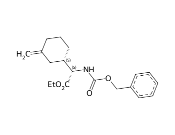 C=C1CCC[C@H]([C@H](NC(=O)OCc2ccccc2)C(=O)OCC)C1